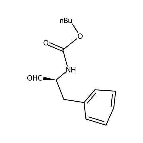 CCCCOC(=O)N[C@H](C=O)Cc1ccccc1